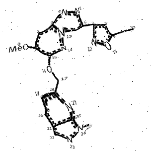 COc1cc2nnc(-c3cc(C)on3)n2nc1OCc1ccc2cnn(C)c2n1